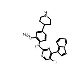 COc1cc(C2CCNCC2)ccc1Nc1ncc(Cl)c(-c2cnn3ccccc23)n1